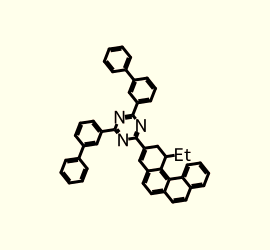 CCC1CC(c2nc(-c3cccc(-c4ccccc4)c3)nc(-c3cccc(-c4ccccc4)c3)n2)=Cc2ccc3ccc4ccccc4c3c21